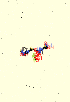 CCN(CCNCCc1ccc(O)c2[nH]c(=O)sc12)C(=O)CCOCCc1cc(CCN2CCC3(CC2)CN(C(=O)c2csc(C(C)C)n2)CCO3)cs1.O=C(O)C(F)(F)F.O=C(O)C(F)(F)F